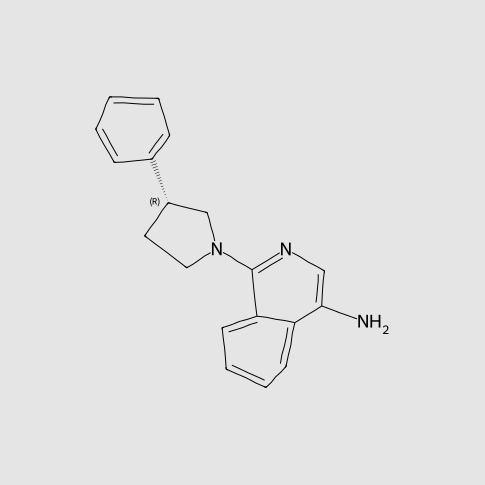 Nc1cnc(N2CC[C@H](c3ccccc3)C2)c2ccccc12